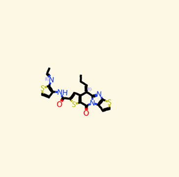 C/C=N/c1sccc1NC(=O)c1cc2/c(=C\CC)c3nc4sccc4n3c(=O)c2s1